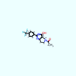 CC(=O)N1CCc2nc(-c3ccc(C(F)(F)F)cc3)nc(O)c2C1